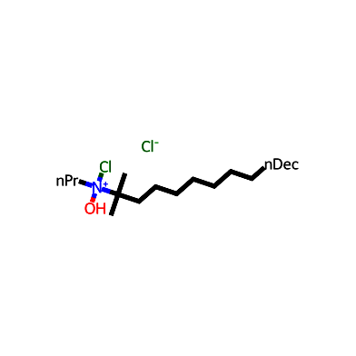 CCCCCCCCCCCCCCCCCC(C)(C)[N+](O)(Cl)CCC.[Cl-]